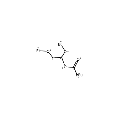 CCCCC(=O)O[C](COCC)OCC